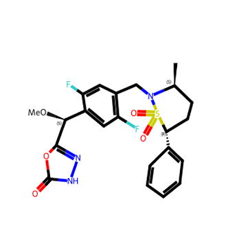 CO[C@H](c1n[nH]c(=O)o1)c1cc(F)c(CN2[C@@H](C)CC[C@H](c3ccccc3)S2(=O)=O)cc1F